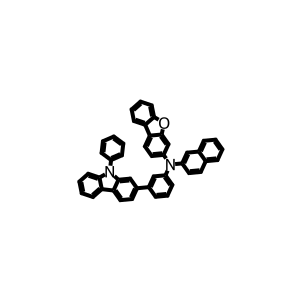 c1ccc(-n2c3ccccc3c3ccc(-c4cccc(N(c5ccc6ccccc6c5)c5ccc6c(c5)oc5ccccc56)c4)cc32)cc1